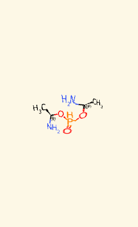 C[C@H](N)O[PH](=O)O[C@H](C)N